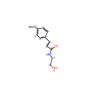 COc1ccc(/C=C/C(=O)NCCO)cc1